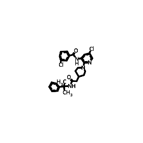 CC(C)(NC(=O)CC1CCN(c2ncc(Cl)cc2NC(=O)c2cccc(Cl)c2)CC1)c1ccccc1